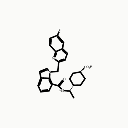 CC(NC(=O)c1cccc2ccn(Cc3ccc4cc(F)ccc4n3)c12)[C@H]1CC[C@H](C(=O)O)CC1